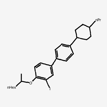 CCCCCCC(C)Oc1ccc(-c2ccc(C3CCC(CCC)CC3)cc2)cc1I